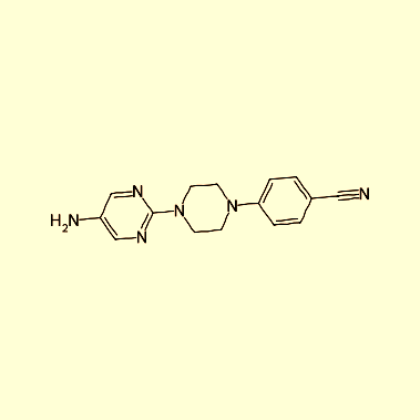 N#Cc1ccc(N2CCN(c3ncc(N)cn3)CC2)cc1